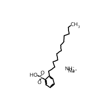 CCCCCCCCCCCCc1ccccc1S(=O)(=O)O.[NH2-].[Na+]